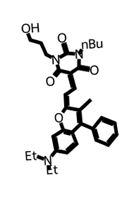 CCCCN1C(=O)C(=CC=C2Oc3cc(N(CC)CC)ccc3C(c3ccccc3)=C2C)C(=O)N(CCCO)C1=O